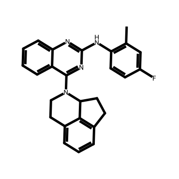 Cc1cc(F)ccc1Nc1nc(N2CCc3cccc4c3C2CC4)c2ccccc2n1